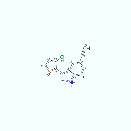 C#Cc1ccc2[nH]cc(-c3sccc3Cl)c2c1